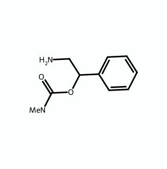 CNC(=O)OC(CN)c1ccccc1